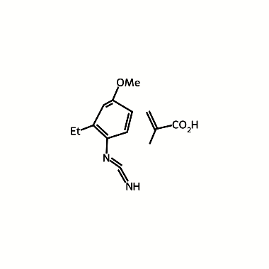 C=C(C)C(=O)O.CCc1cc(OC)ccc1N=C=N